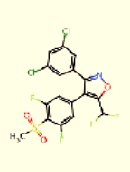 CS(=O)(=O)c1c(F)cc(-c2c(-c3cc(Cl)cc(Cl)c3)noc2C(F)F)cc1F